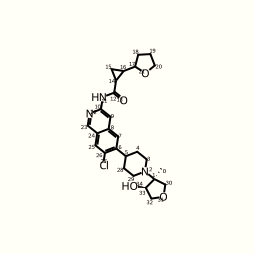 C[C@]1(N2CCC(c3cc4cc(NC(=O)C5CC5C5CCCO5)ncc4cc3Cl)CC2)COC[C@H]1O